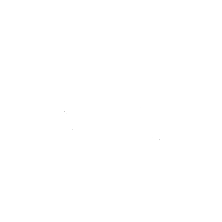 CC(C)(C)OC(=O)CC1c2ccccc2[N]C(=O)c2ccccc21